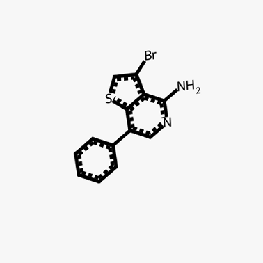 Nc1ncc(-c2ccccc2)c2scc(Br)c12